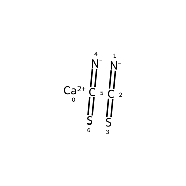 [Ca+2].[N-]=C=S.[N-]=C=S